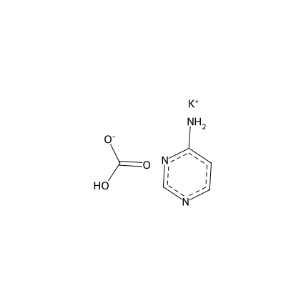 Nc1ccncn1.O=C([O-])O.[K+]